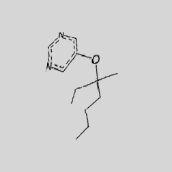 CCCCC(C)(CC)Oc1cncnc1